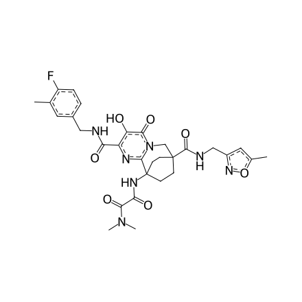 Cc1cc(CNC(=O)C23CCC(NC(=O)C(=O)N(C)C)(CC2)c2nc(C(=O)NCc4ccc(F)c(C)c4)c(O)c(=O)n2C3)no1